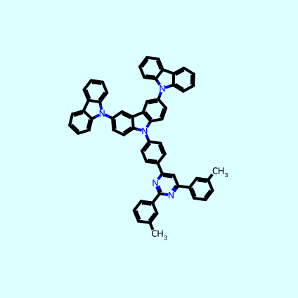 Cc1cccc(-c2cc(-c3ccc(-n4c5ccc(-n6c7ccccc7c7ccccc76)cc5c5cc(-n6c7ccccc7c7ccccc76)ccc54)cc3)nc(-c3cccc(C)c3)n2)c1